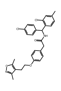 Cc1ccc(C(NC(=O)Cc2ccc(OCCc3c(C)noc3C)cc2)c2ccc(Cl)cc2)c(Cl)c1